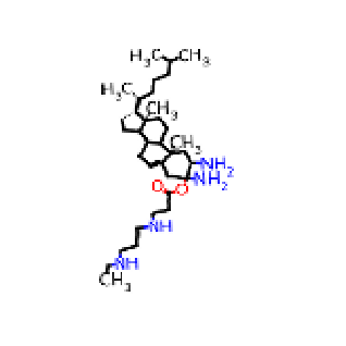 CCNCCCNCCC(=O)OC1(N)CC2=CCC3C(CC[C@@]4(C)C3CC[C@@H]4[C@H](C)CCCC(C)C)[C@@]2(C)CC1N